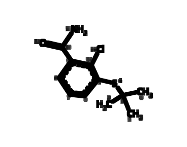 CC(C)(C)Sc1cccc(C(N)=O)c1Cl